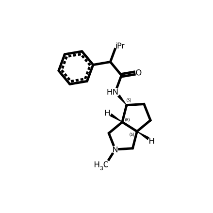 CC(C)C(C(=O)N[C@H]1CC[C@@H]2CN(C)C[C@@H]21)c1ccccc1